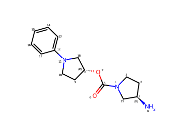 N[C@@H]1CCN(C(=O)O[C@@H]2CCN(c3ccccc3)C2)C1